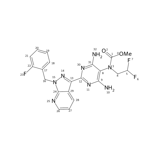 COC(=O)N(CC(F)F)c1c(N)nc(-c2nn(Cc3ccccc3F)c3ncccc23)nc1N